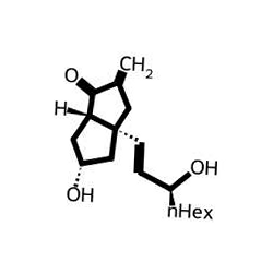 C=C1C[C@@]2(/C=C/[C@@H](O)CCCCCC)C[C@H](O)C[C@@H]2C1=O